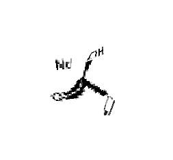 O=C(O)Cl.[Nd]